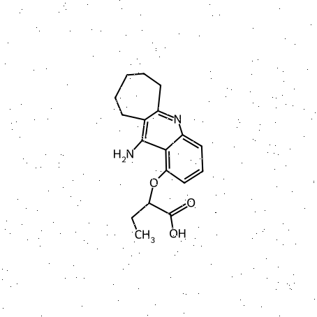 CCC(Oc1cccc2nc3c(c(N)c12)CCCCC3)C(=O)O